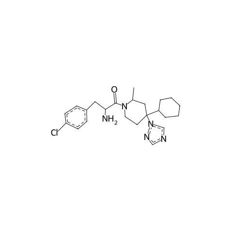 CC1CC(C2CCCCC2)(n2cncn2)CCN1C(=O)C(N)Cc1ccc(Cl)cc1